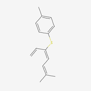 C=C/C(=C\C=C(C)C)Sc1ccc(C)cc1